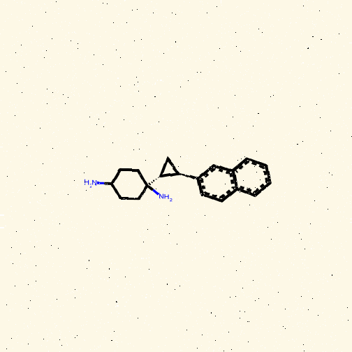 NC1CCC(N)([C@@H]2C[C@H]2c2ccc3ccccc3c2)CC1